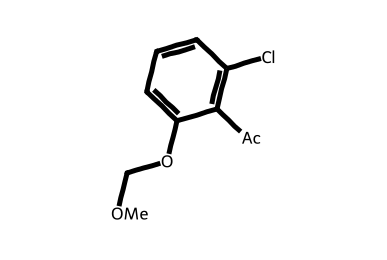 COCOc1cccc(Cl)c1C(C)=O